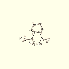 CN(C)c1ccccc1P(Cl)Cl